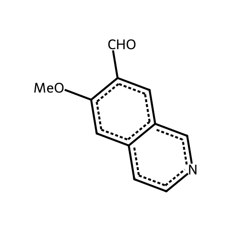 COc1cc2ccncc2cc1C=O